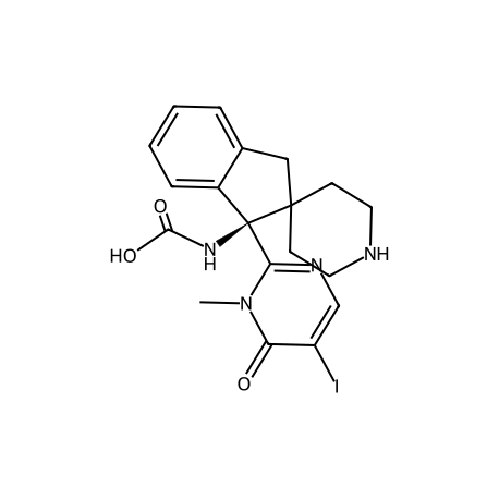 Cn1c([C@]2(NC(=O)O)c3ccccc3CC23CCNCC3)ncc(I)c1=O